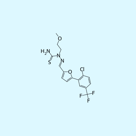 COCCN(N=Cc1ccc(-c2cc(C(F)(F)F)ccc2Cl)o1)C(N)=S